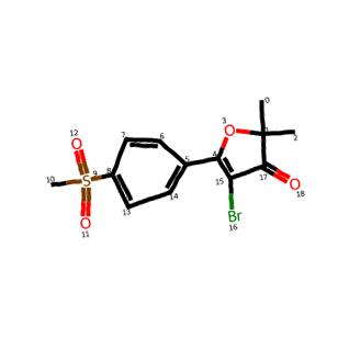 CC1(C)OC(c2ccc(S(C)(=O)=O)cc2)=C(Br)C1=O